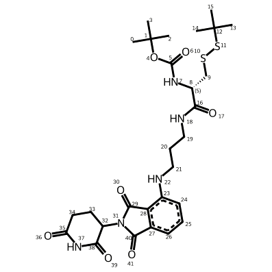 CC(C)(C)OC(=O)N[C@H](CSSC(C)(C)C)C(=O)NCCCNc1cccc2c1C(=O)N(C1CCC(=O)NC1=O)C2=O